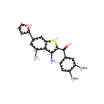 COc1ccc(C(=O)c2sc3cc(-c4ccco4)cc(C(F)(F)F)c3c2N)cc1OC